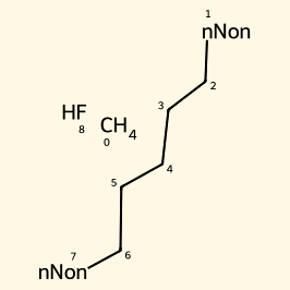 C.CCCCCCCCCCCCCCCCCCCCCCC.F